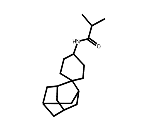 CC(C)C(=O)NC1CCC2(CC1)C1CC3CC(C1)CC2C3